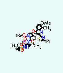 C=C[C@@H]1C[C@]1(NC(=O)[C@H]1N(C(=O)OC(C)(C)C)C[C@H](Oc2cc(-c3nc(C(C)C)cs3)nc3c(C)c(OC)ccc23)C1(C)C)C(=O)NS(=O)(=O)C1(C)CC1